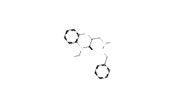 O=CN(CC1Sc2ccccc2N(CC(=O)O)C1=O)OCc1ccccc1